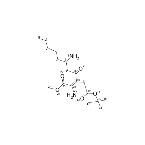 CCCCCC(N)CC(=O)C(CC(=O)OC(C)(C)C)=C(N)C(=O)OC